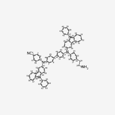 N#Cc1ccc(N(c2ccc(-c3ccc(N(c4ccc(CCN)cc4)c4ccc5c(c4)c4ccccc4n5-c4ccccc4)cc3)cc2)c2ccc3c(c2)c2ccccc2n3-c2ccccc2)cc1